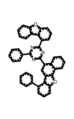 c1ccc(-c2nc(-c3cc4c(oc5cccc(-c6ccccc6)c54)c4ccccc34)nc(-c3cccc4oc5ccccc5c34)n2)cc1